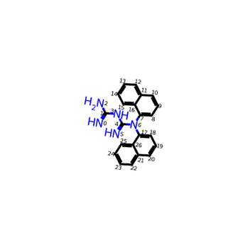 N=C(N)NC(=N)N(c1cccc2ccccc12)c1cccc2ccccc12